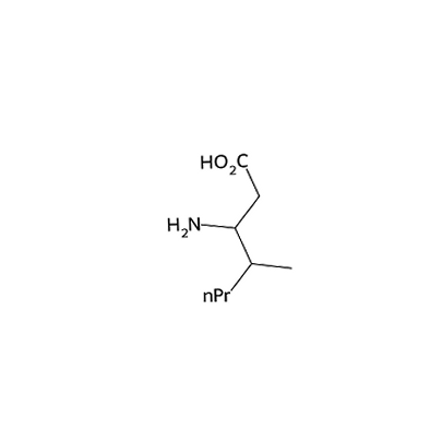 CCCC(C)C(N)CC(=O)O